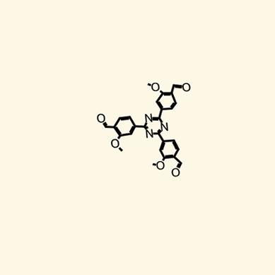 COc1cc(-c2nc(-c3ccc(C=O)c(OC)c3)nc(-c3ccc(C=O)c(OC)c3)n2)ccc1C=O